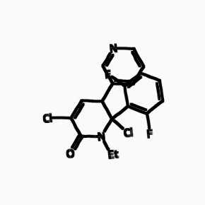 CCN1C(=O)C(Cl)=CC(c2cccnc2)C1(Cl)c1c(F)cccc1F